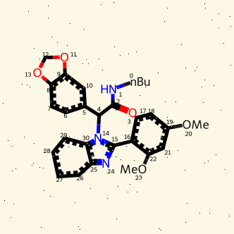 CCCCNC(=O)C(c1ccc2c(c1)OCO2)n1c(-c2ccc(OC)cc2OC)nc2ccccc21